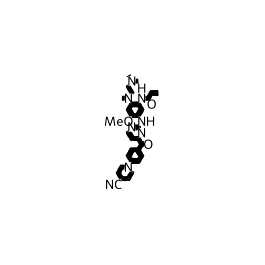 C=CC(=O)Nc1cc(Nc2nccc(C(=O)c3ccc(N4CCC(C#N)CC4)cc3)n2)c(OC)cc1N(C)CCN(C)C